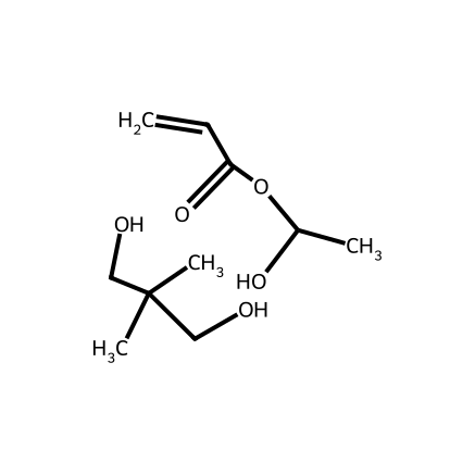 C=CC(=O)OC(C)O.CC(C)(CO)CO